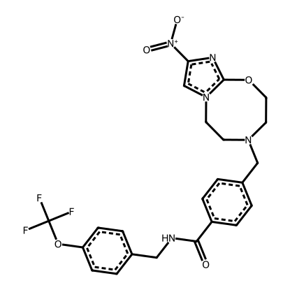 O=C(NCc1ccc(OC(F)(F)F)cc1)c1ccc(CN2CCOc3nc([N+](=O)[O-])cn3CC2)cc1